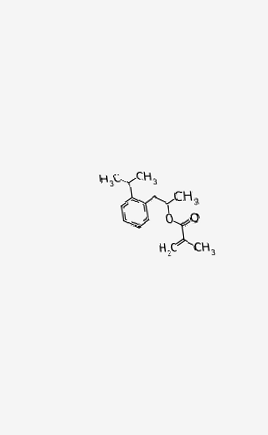 C=C(C)C(=O)OC(C)Cc1ccccc1C(C)C